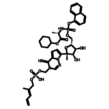 C=C/C=C(\C)COP(=O)(O)OCn1cnn2c([C@]3(C)O[C@H](COP(=O)(N[C@@H](C)C(=O)OC4CCCCC4)Oc4cccc5ccccc45)[C@@H](O)[C@H]3O)ccc2c1=N